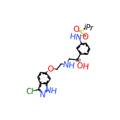 CC(C)S(=O)(=O)Nc1cccc([C@@H](O)CNCCOc2ccc3c(Cl)n[nH]c3c2)c1